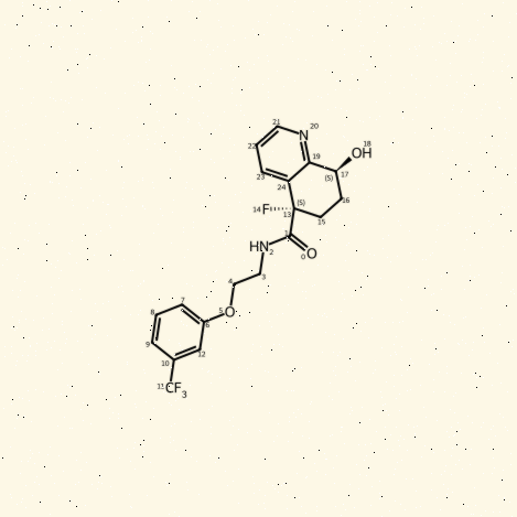 O=C(NCCOc1cccc(C(F)(F)F)c1)[C@]1(F)CC[C@H](O)c2ncccc21